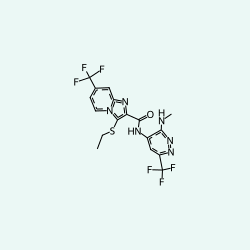 CCSc1c(C(=O)Nc2cc(C(F)(F)F)nnc2NC)nc2cc(C(F)(F)F)ccn12